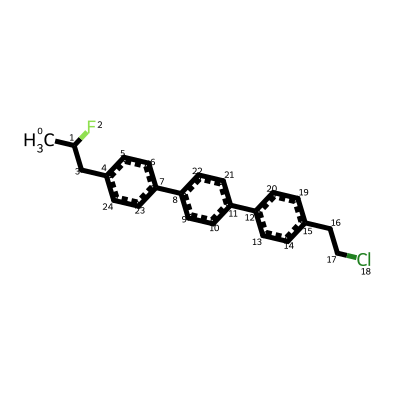 CC(F)Cc1ccc(-c2ccc(-c3ccc(CCCl)cc3)cc2)cc1